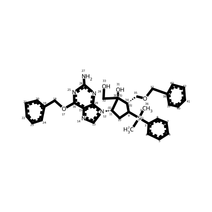 C[Si](C)(c1ccccc1)C1C[C@H](n2cnc3c(OCc4ccccc4)nc(N)nc32)[C@](O)(CO)[C@@H]1COCc1ccccc1